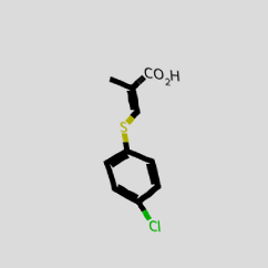 CC(=CSc1ccc(Cl)cc1)C(=O)O